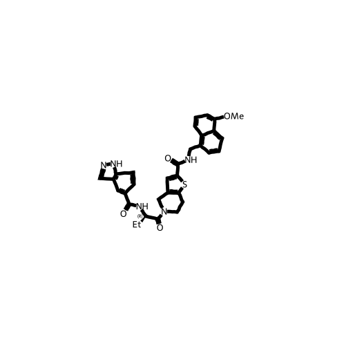 CC[C@@H](NC(=O)c1ccc2[nH]ncc2c1)C(=O)N1CCc2sc(C(=O)NCc3cccc4c(OC)cccc34)cc2C1